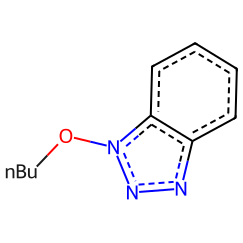 CCCCOn1nnc2ccccc21